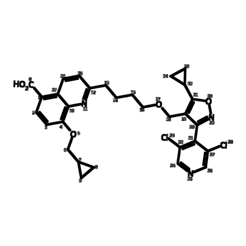 O=C(O)c1ccc(OCC2CC2)c2nc(CCCCOCc3c(-c4c(Cl)cncc4Cl)noc3C3CC3)ccc12